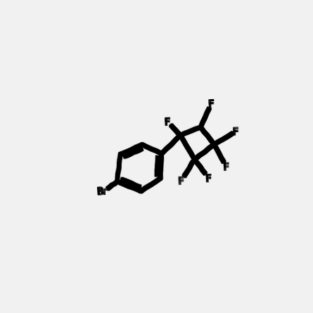 FC1C(F)(F)C(F)(F)C1(F)c1ccc(Br)cc1